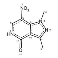 Cc1nn(C)c2c([N+](=O)[O-])c[nH]c(=O)c12